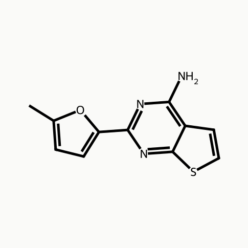 Cc1ccc(-c2nc(N)c3ccsc3n2)o1